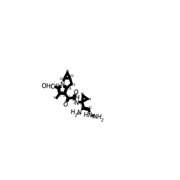 Cc1c(C(=O)C(=O)NC2(/C(N)=C/NN)CC2)c2n(c1C=O)C1CC1C2